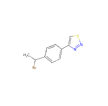 CC(Br)c1ccc(-c2csnn2)cc1